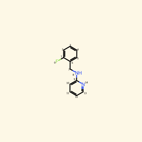 Fc1ccccc1CNc1ccccn1